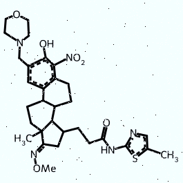 CO/N=C1\CC(CCC(=O)Nc2ncc(C)s2)C2C3CCc4c(cc(CN5CCOCC5)c(O)c4[N+](=O)[O-])C3CCC12C